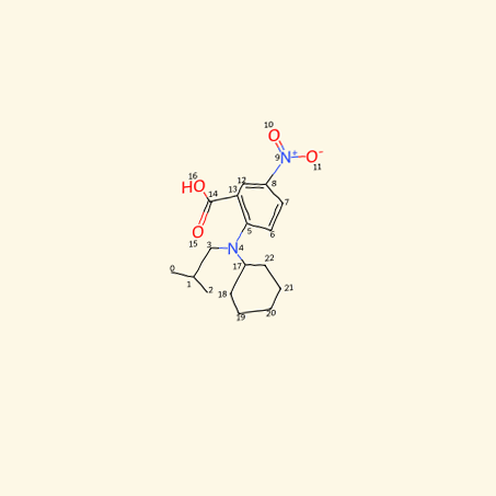 CC(C)CN(c1ccc([N+](=O)[O-])cc1C(=O)O)C1CCCCC1